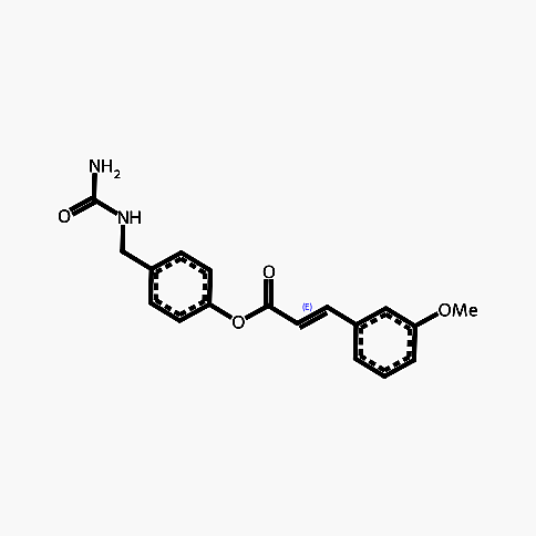 COc1cccc(/C=C/C(=O)Oc2ccc(CNC(N)=O)cc2)c1